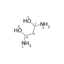 NC(O)CC(N)O